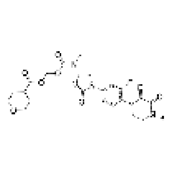 CN(C(=O)OCOC(=O)C1CCOCC1)[C@@H]1CN(c2ccc(C3CC[SH4]C(=O)C3=O)c(F)c2)C(=O)O1